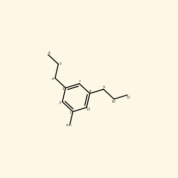 [CH2]c1cc(CCC)cc(CCC)c1